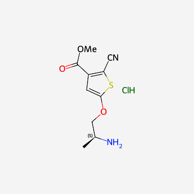 COC(=O)c1cc(OC[C@H](C)N)sc1C#N.Cl